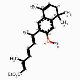 CCOC(=O)/C=C(C)/C=C/C=C(CC)c1cc2c(cc1OCC)C(C)(C)CC=C2C(C)(C)C